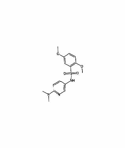 COc1ccc(OC)c(S(=O)(=O)Nc2ccc(N(C)C)nc2)c1